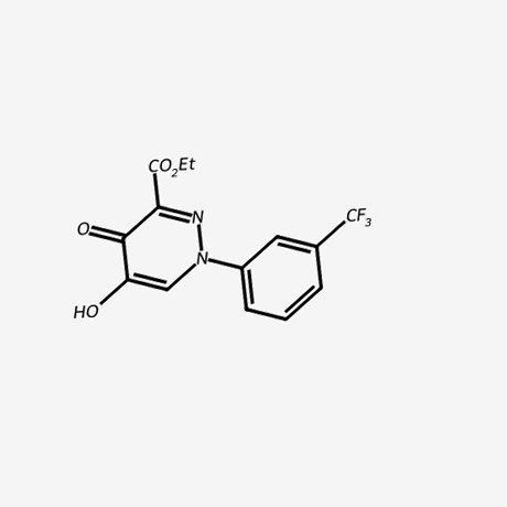 CCOC(=O)c1nn(-c2cccc(C(F)(F)F)c2)cc(O)c1=O